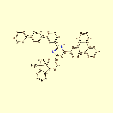 CC1(C)c2ccccc2-c2ccc(-c3cc(-c4ccc5c6ccccc6c6ccccc6c5c4)nc(-c4cccc(-c5ccc(-c6ccccc6)cc5)c4)n3)cc21